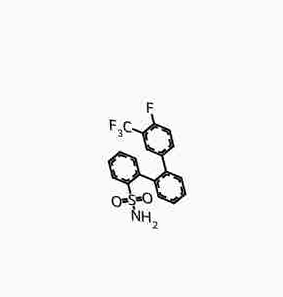 NS(=O)(=O)c1ccccc1-c1ccccc1-c1ccc(F)c(C(F)(F)F)c1